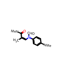 CNC(=O)/C(C)=C\N(C=O)c1ccc(NC)cc1